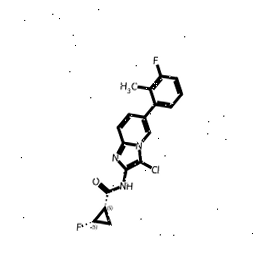 Cc1c(F)cccc1-c1ccc2nc(NC(=O)[C@@H]3C[C@@H]3F)c(Cl)n2c1